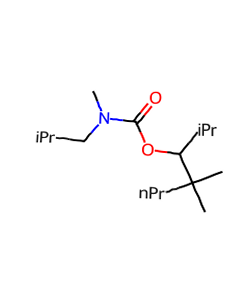 CCCC(C)(C)C(OC(=O)N(C)CC(C)C)C(C)C